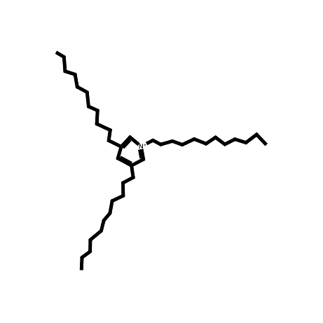 CCCCCCCCCCCC[n+]1cc(CCCCCCCCCCC)cc(CCCCCCCCCCC)c1